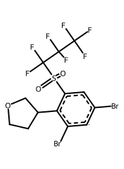 O=S(=O)(c1cc(Br)[c]c(Br)c1C1CCOC1)C(F)(F)C(F)(F)C(F)(F)F